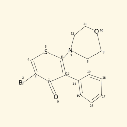 O=c1c(Br)csc(N2CCOCC2)c1-c1ccccc1